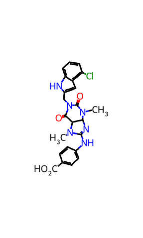 CN1C(=O)N(Cc2cc3c(Cl)cccc3[nH]2)C(=O)C2C1N=C(Nc1ccc(C(=O)O)cc1)N2C